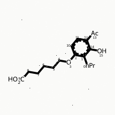 CCCc1c(OCCCCCC(=O)O)ccc(C(C)=O)c1O